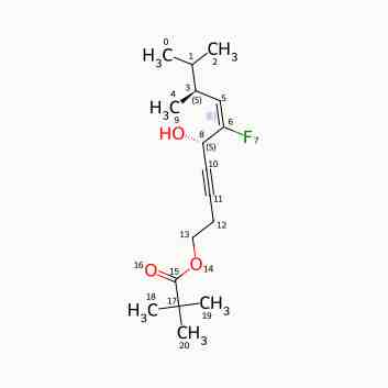 CC(C)[C@H](C)/C=C(/F)[C@@H](O)C#CCCOC(=O)C(C)(C)C